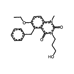 CCOc1ccc2c(c1Cc1ccccc1)c(=O)n(CCCO)c(=O)n2C